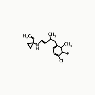 C=CC1(N/C=C/C(C)CC2=CC=C(Cl)C(F)C2C)CC1